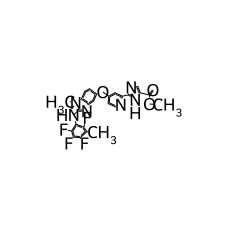 COC(=O)c1cnc(-c2cc(Oc3ccc4c(c3)nc(Nc3c(F)c(C)c(F)c(F)c3F)n4C)ccn2)[nH]1